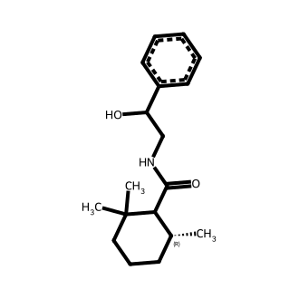 C[C@@H]1CCCC(C)(C)C1C(=O)NCC(O)c1ccccc1